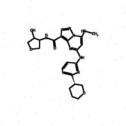 CNc1cc(Nc2cccc([C@H]3CCCOC3)n2)nc2c(C(=O)NC3COCC3O)cnn12